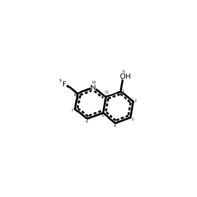 Oc1cccc2ccc(F)nc12